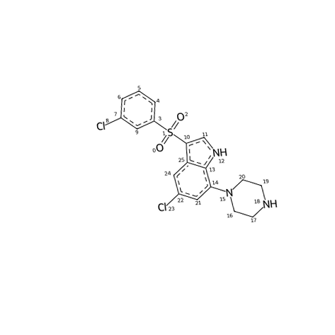 O=S(=O)(c1cccc(Cl)c1)c1c[nH]c2c(N3CCNCC3)cc(Cl)cc12